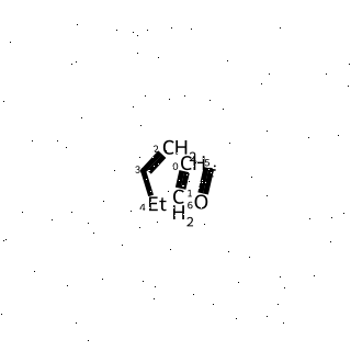 C=C.C=CCC.[C]=O